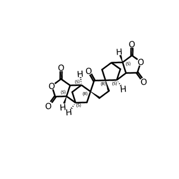 O=C1OC(=O)[C@H]2C3C[C@@H](C12)[C@@]1(CC[C@]2(C[C@@H]4C[C@H]2C2C(=O)OC(=O)[C@H]24)C1=O)C3